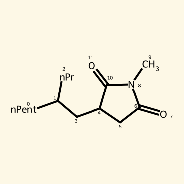 CCCCCC(CCC)CC1CC(=O)N(C)C1=O